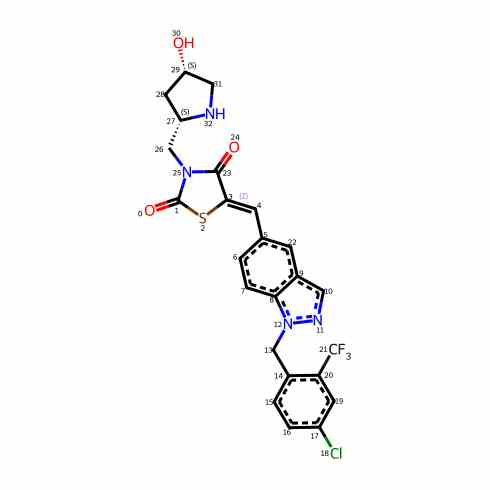 O=C1S/C(=C\c2ccc3c(cnn3Cc3ccc(Cl)cc3C(F)(F)F)c2)C(=O)N1C[C@@H]1C[C@H](O)CN1